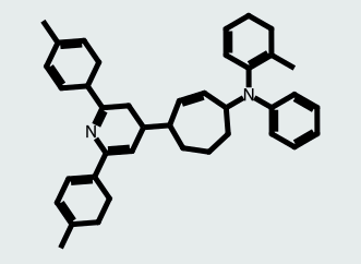 CC1=CCC(C2=NC(C3=CC=C(C)CC3)=CC(C3C=CC(N(C4=C(C)CCC=C4)c4ccccc4)CCC3)C2)C=C1